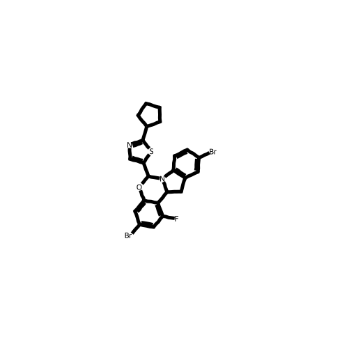 Fc1cc(Br)cc2c1C1Cc3cc(Br)ccc3N1C(c1cnc(C3CCCC3)s1)O2